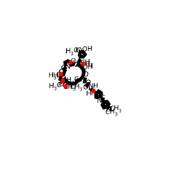 CO[C@H]1C[C@@H](C)C/C(C)=C/[C@@H](CCOC(=O)NCCNc2ccc3sc(-c4ccc(N(C)C)cc4)nc3c2)C(=O)C[C@H](O)[C@@H](C)[C@@H](/C(C)=C/[C@@H]2CC[C@@H](O)[C@H](OC)C2)OC(=O)[C@@H]2CCCCN2C(=O)C(=O)[C@]2(O)O[C@H]1[C@@H](OC)C[C@H]2C